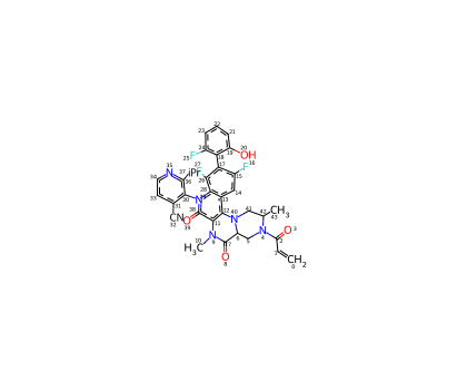 C=CC(=O)N1CC2C(=O)N(C)c3c(c4cc(F)c(-c5c(O)cccc5F)c(F)c4n(-c4c(C#N)ccnc4C(C)C)c3=O)N2CC1C